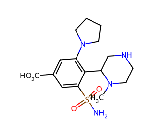 CN1CCNCC1c1c(N2CCCC2)cc(C(=O)O)cc1S(N)(=O)=O